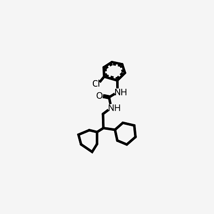 O=C(NCC(C1CCCCC1)C1CCCCC1)Nc1ccccc1Cl